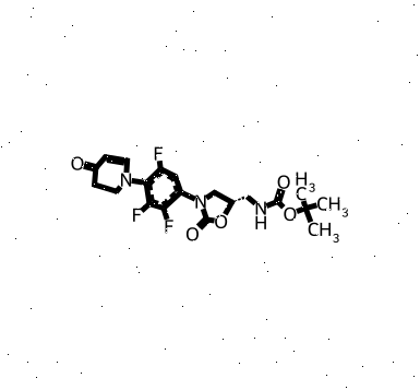 CC(C)(C)OC(=O)NC[C@H]1CN(c2cc(F)c(N3C=CC(=O)CC3)c(F)c2F)C(=O)O1